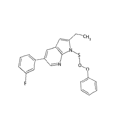 CCc1cc2cc(-c3cccc(F)c3)cnc2n1SOOc1ccccc1